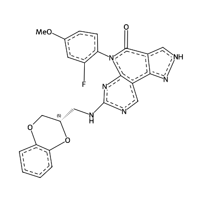 COc1ccc(-n2c(=O)c3c[nH]nc3c3cnc(NC[C@H]4COc5ccccc5O4)nc32)c(F)c1